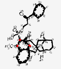 C[C@@H]1C[C@@H]2C[C@H](C1)C[C@@H](N1[C@@H]3CCC[C@H]1C[C@@H](n1c(=O)c(P(=O)(O)OCCC(=O)c4ccccc4)nc4ccccc41)C3)C2